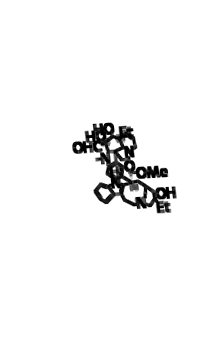 CCC1(O)CC2C[N@](CCc3c([nH]c4ccccc34)[C@@](C(=O)OC)(c3ccc4c(c3)C35CCN6CC=C[C@](CC)(C63)C(O)[C@](O)(C=O)C5N4C)C2)C1